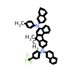 Cc1ccc(N(c2ccc3ccccc3c2)c2cc3c(c4ccccc24)-c2ccc(N(c4ccc(C(F)(F)F)cc4)c4ccc5ccccc5c4)cc2C3(C)C)cc1